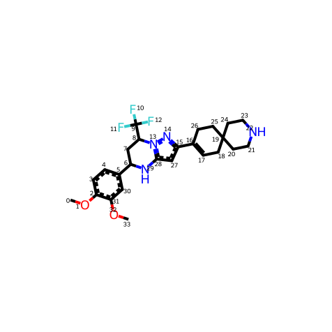 COc1ccc(C2CC(C(F)(F)F)n3nc(C4=CCC5(CCNCC5)CC4)cc3N2)cc1OC